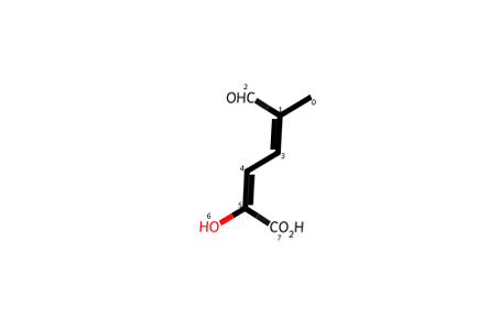 C/C(C=O)=C/C=C(/O)C(=O)O